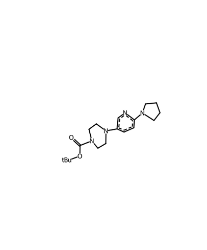 CC(C)(C)OC(=O)N1CCN(c2ccc(N3CCCC3)nc2)CC1